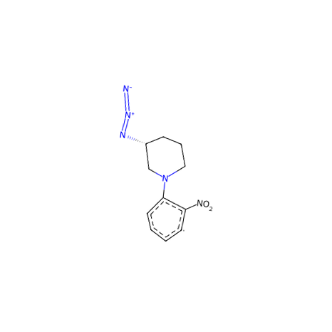 [N-]=[N+]=N[C@@H]1CCCN(c2ccc[c]c2[N+](=O)[O-])C1